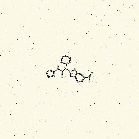 O=C(Nc1nccs1)[C@@H](c1ccccc1)n1cc2ccc([N+](=O)[O-])cc2n1